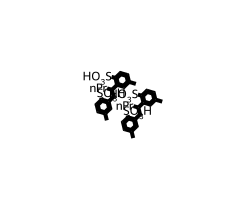 CCCC(Cc1cc(C)ccc1S(=O)(=O)O)c1cc(C)ccc1S(=O)(=O)O.CCCC(Cc1cc(C)ccc1S(=O)(=O)O)c1cc(C)ccc1S(=O)(=O)O